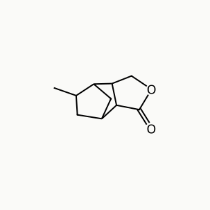 CC1CC2CC1C1COC(=O)C21